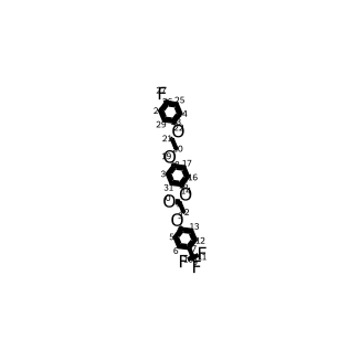 O=C(COc1ccc(C(F)(F)F)cc1)Oc1ccc(OCCOc2ccc(F)cc2)cc1